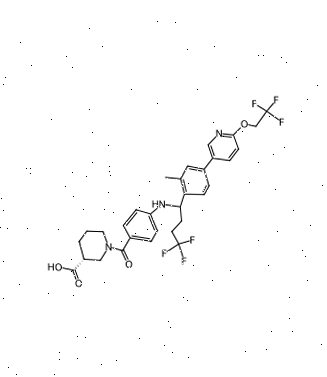 Cc1cc(-c2ccc(OCC(F)(F)F)nc2)ccc1C(CCC(F)(F)F)Nc1ccc(C(=O)N2CCC[C@@H](C(=O)O)C2)cc1